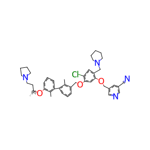 Cc1c(COc2cc(OCc3cncc(C#N)c3)c(CN3CCCCC3)cc2Cl)cccc1-c1cccc(O[C@H](C)CCN2CCCC2)c1C